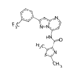 Cc1nc(C(=O)Nc2ccnc3cc(-c4cccc(C(F)(F)F)c4)nn23)c(C)s1